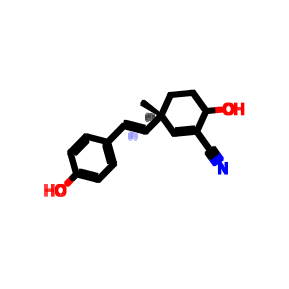 C[C@]1(/C=C/c2ccc(O)cc2)C=C(C#N)C(O)CC1